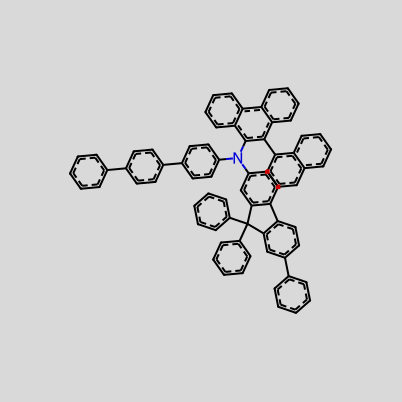 c1ccc(-c2ccc(-c3ccc(N(c4ccc5c(c4)C(c4ccccc4)(c4ccccc4)c4cc(-c6ccccc6)ccc4-5)c4c(-c5cccc6ccccc56)c5ccccc5c5ccccc45)cc3)cc2)cc1